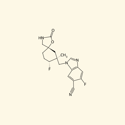 C[C@@]1(Cn2cnc3cc(F)c(C#N)cc32)C[C@@]2(CC[C@H]1F)CNC(=O)O2